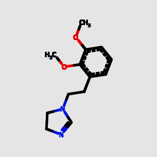 COc1cccc(CCN2C=NCC2)c1OC